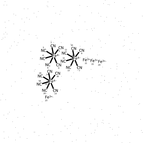 N#[C][Fe-4]([C]#N)([C]#N)([C]#N)([C]#N)[C]#N.N#[C][Fe-4]([C]#N)([C]#N)([C]#N)([C]#N)[C]#N.N#[C][Fe-4]([C]#N)([C]#N)([C]#N)([C]#N)[C]#N.[Fe+3].[Fe+3].[Fe+3].[Fe+3]